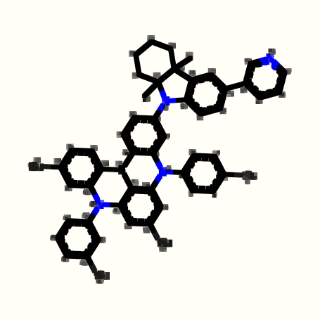 CC(C)(C)c1ccc(N2c3cc(N4c5ccc(-c6cccnc6)cc5C5(C)CCCCC45C)ccc3B3c4ccc(C(C)(C)C)cc4N(c4cccc(C(C)(C)C)c4)c4cc(C(C)(C)C)cc2c43)cc1